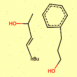 CCCC/C=C/C(C)O.OCCCc1ccccc1